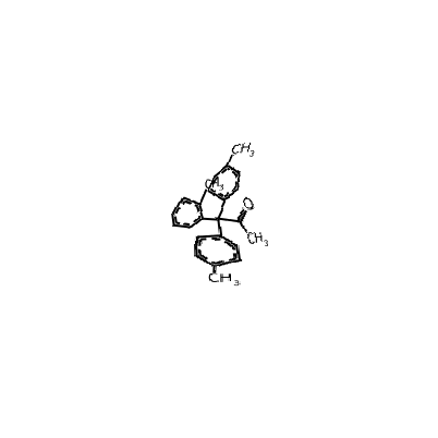 CC(=O)C(c1ccc(C)cc1)(c1ccc(C)cc1)c1ccccc1C